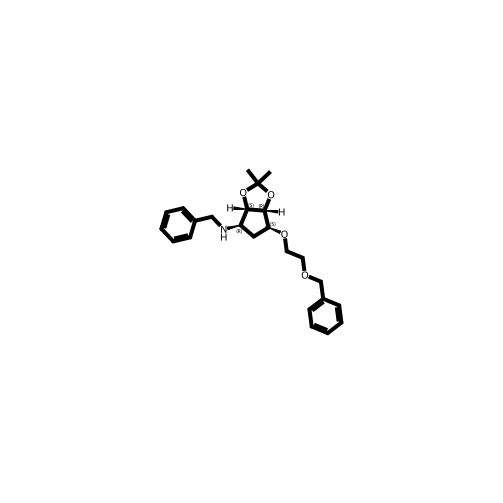 CC1(C)O[C@@H]2[C@H](O1)[C@@H](OCCOCc1ccccc1)C[C@H]2NCc1ccccc1